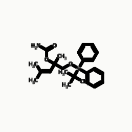 CC(C)=CC(C)(CO[Si](c1ccccc1)(c1ccccc1)C(C)(C)C)OC(N)=O